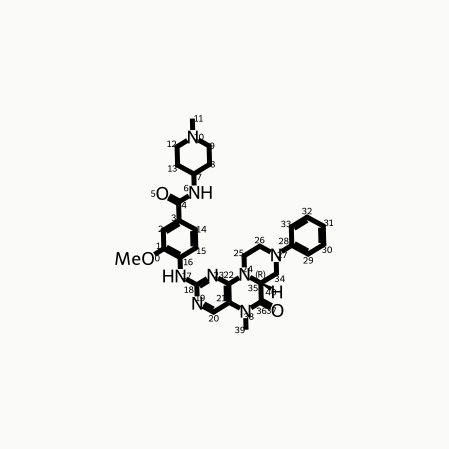 COc1cc(C(=O)NC2CCN(C)CC2)ccc1Nc1ncc2c(n1)N1CCN(c3ccccc3)C[C@@H]1C(=O)N2C